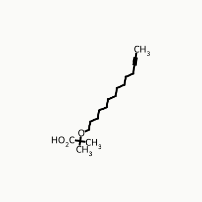 CC#CCCCCCCCCCCCOC(C)(C)C(=O)O